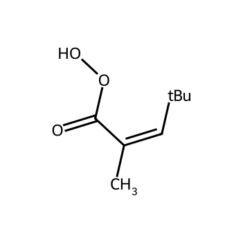 CC(=CC(C)(C)C)C(=O)OO